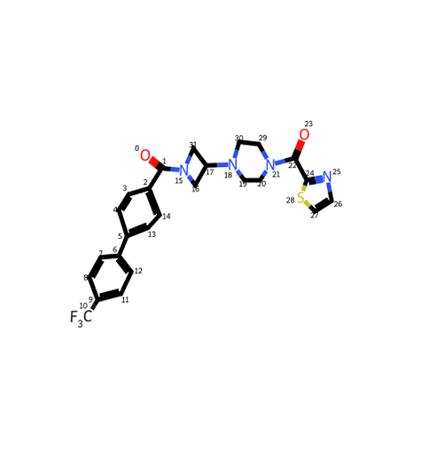 O=C(c1ccc(-c2ccc(C(F)(F)F)cc2)cc1)N1CC(N2CCN(C(=O)c3nccs3)CC2)C1